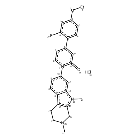 CCOc1ccc(-c2ccn(-c3ccc4c5c(n(C)c4c3)CN(C)CC5)c(=O)c2)c(F)c1.Cl